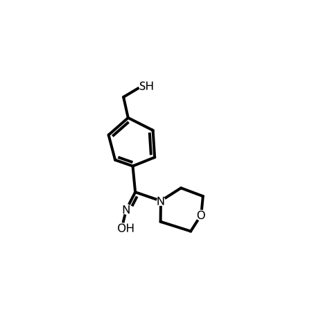 O/N=C(/c1ccc(CS)cc1)N1CCOCC1